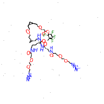 Cc1c(F)c(F)c(F)c(OC(=O)CCOCCC2CC2CCOCCC2CC2CCNC(=O)[C@H](CCCCNC(=O)CCOCCOCCN=[N+]=[N-])NC(=O)CCCNC(=O)CCOCCOCCN=[N+]=[N-])c1F